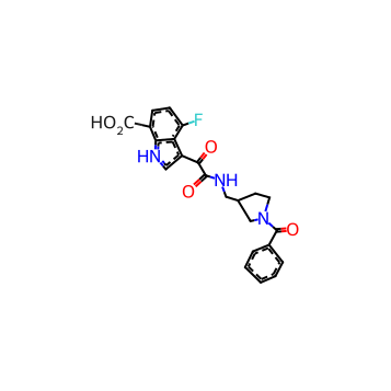 O=C(NCC1CCN(C(=O)c2ccccc2)C1)C(=O)c1c[nH]c2c(C(=O)O)ccc(F)c12